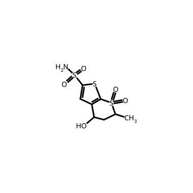 CC1CC(O)c2cc(S(N)(=O)=O)sc2S1(=O)=O